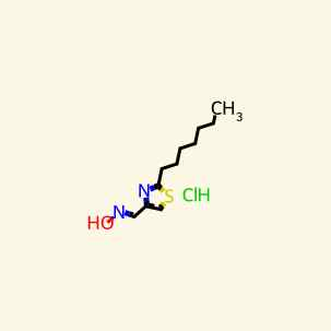 CCCCCCCc1nc(/C=N/O)cs1.Cl